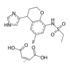 CCS(=O)(=O)Nc1cc(F)cc2c1OCCC2c1c[nH]cn1.O=C(O)/C=C\C(=O)O